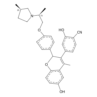 CC1=C(c2ccc(C#N)c(O)c2)C(c2ccc(OC[C@H](C)N3CC[C@@H](C)C3)cc2)Oc2ccc(O)cc21